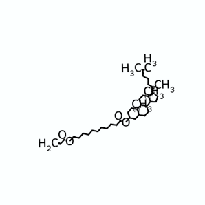 C=CC(=O)OCCCCCCCCCCC(=O)OC1CC[C@@]2(C)C(CCC3C2CC[C@@]2(C)C3CC[C@@H]2[C@H](C)CCCC(C)C)C1